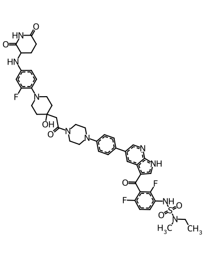 CCN(C)S(=O)(=O)Nc1ccc(F)c(C(=O)c2c[nH]c3ncc(-c4ccc(N5CCN(C(=O)CC6(O)CCN(c7ccc(NC8CCC(=O)NC8=O)cc7F)CC6)CC5)cc4)cc23)c1F